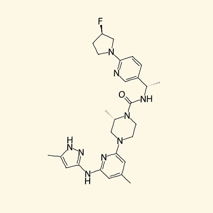 Cc1cc(Nc2cc(C)[nH]n2)nc(N2CCN(C(=O)N[C@@H](C)c3ccc(N4CC[C@@H](F)C4)nc3)[C@@H](C)C2)c1